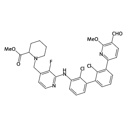 COC(=O)C1CCCCN1Cc1ccnc(Nc2cccc(-c3cccc(-c4ccc(C=O)c(OC)n4)c3Cl)c2Cl)c1F